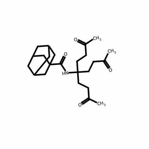 CC(=O)CCC(CCC(C)=O)(CCC(C)=O)NC(=O)C12CC3CC(CC(C3)C1)C2